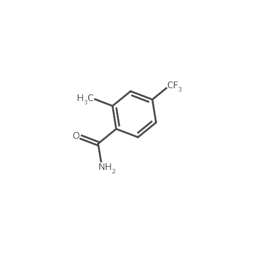 Cc1cc(C(F)(F)F)ccc1C(N)=O